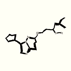 CCOC(C=C(C)C)CCNc1ccc2ncc(C3=CCCC3)n2n1